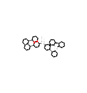 c1ccc(-c2cccc3cccc(-c4ccc(Nc5ccc(-c6ccccc6-n6c7ccccc7c7ccccc76)cc5)cc4)c23)cc1